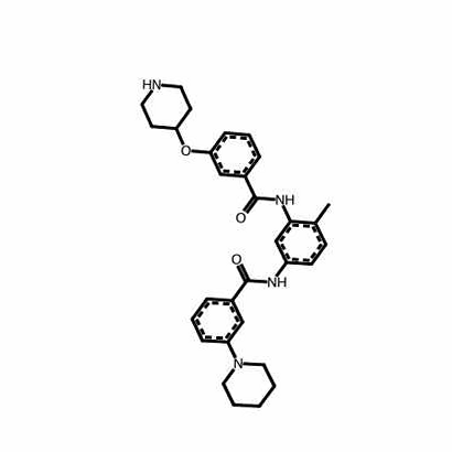 Cc1ccc(NC(=O)c2cccc(N3CCCCC3)c2)cc1NC(=O)c1cccc(OC2CCNCC2)c1